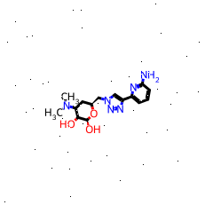 CN(C)C1C[C@@H](Cn2cc(-c3cccc(N)n3)nn2)O[C@@H](O)C1O